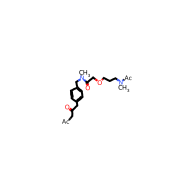 CC(=O)CC(=O)Cc1ccc(CN(C)C(=O)COCCCN(C)C(C)=O)cc1